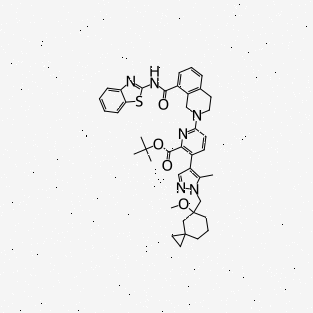 COC1(Cn2ncc(-c3ccc(N4CCc5cccc(C(=O)Nc6nc7ccccc7s6)c5C4)nc3C(=O)OC(C)(C)C)c2C)CCCC2(CC2)C1